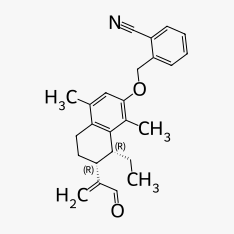 C=C(C=O)[C@@H]1CCc2c(C)cc(OCc3ccccc3C#N)c(C)c2[C@@H]1CC